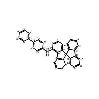 C1=CC2=C(CC1)C1(c3ccccc3-c3ccccc31)c1cccc(Nc3ccc(-c4ccccc4)cc3)c12